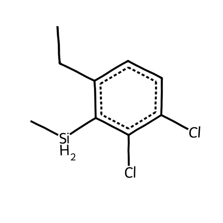 CCc1ccc(Cl)c(Cl)c1[SiH2]C